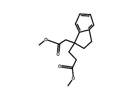 COC(=O)CCC1(CC(=O)OC)CCc2ccccc21